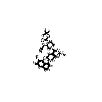 CSc1nc2c(c(N3CCN(C(=O)OC(C)(C)C)[C@@H](CC#N)C3)n1)CCN(c1cccc3cc(C)c(F)c(Cl)c13)C2